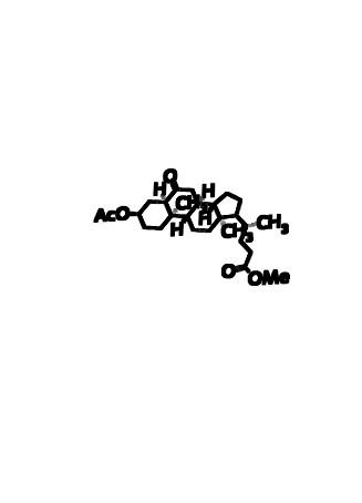 COC(=O)CC[C@@H](C)C1CC[C@H]2[C@@H]3CC(=O)[C@@H]4C[C@H](OC(C)=O)CC[C@]4(C)[C@H]3CC[C@]12C